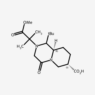 COC(=O)C(C)(C)N1CC(=O)N2C[C@@H](C(=O)O)CC[C@@H]2C1C(C)(C)C